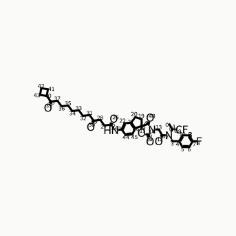 C[C@H](N(Cc1ccc(F)cc1)C(=O)CN1C(=O)OC2(CCc3cc(NC(=O)CCC(=O)CCCCCCCC(=O)C4CCC4)ccc32)C1=O)C(F)(F)F